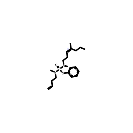 C=CCCN(C)P(=O)(Oc1ccccc1)N(C)CC/C=C(/C)CCC